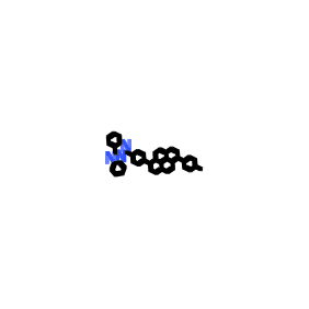 Cc1ccc(-c2ccc3ccc4c(-c5ccc(-c6nc7ccccc7c7nc8ccccc8n67)cc5)ccc5ccc2c3c54)cc1